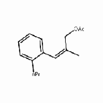 CCCc1ccccc1C=C(C)COC(C)=O